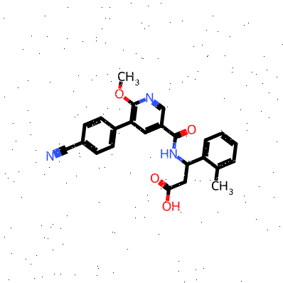 COc1ncc(C(=O)NC(CC(=O)O)c2ccccc2C)cc1-c1ccc(C#N)cc1